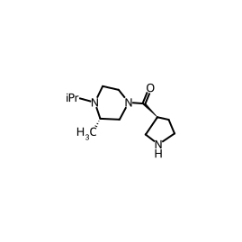 CC(C)N1CCN(C(=O)[C@H]2CCNC2)C[C@@H]1C